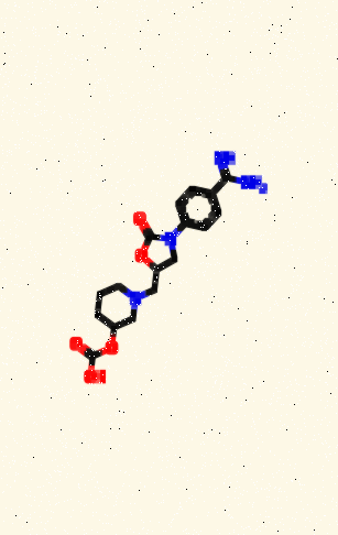 N=C(N)c1ccc(N2CC(CN3CCCC(OC(=O)O)C3)OC2=O)cc1